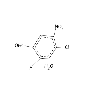 O.O=Cc1cc([N+](=O)[O-])c(Cl)cc1F